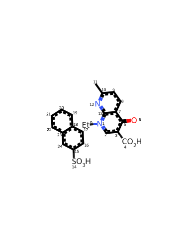 CCn1cc(C(=O)O)c(=O)c2ccc(C)nc21.O=S(=O)(O)c1ccc2ccccc2c1